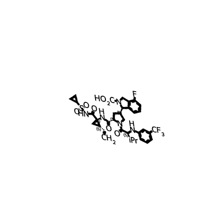 C=C[C@@H]1C[C@]1(NC(=O)[C@@H]1C[C@@H](C2c3cccc(F)c3CN2C(=O)O)CN1C(=O)[C@@H](Nc1cccc(C(F)(F)F)c1)C(C)C)C(=O)NS(=O)(=O)C1CC1